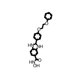 O=C(NO)c1ccc2c(c1)NC(c1ccc(OCCOc3ccccc3)cc1)N2